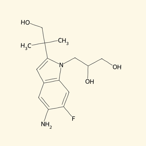 CC(C)(CO)c1cc2cc(N)c(F)cc2n1CC(O)CO